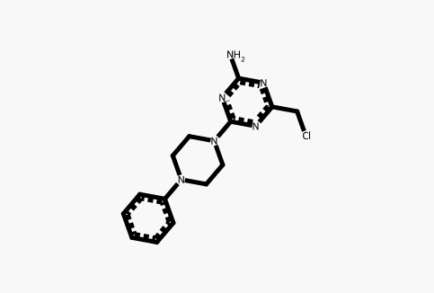 Nc1nc(CCl)nc(N2CCN(c3ccccc3)CC2)n1